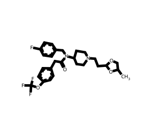 CC1COC(CCN2CCC(N(Cc3ccc(F)cc3)C(=O)Cc3ccc(OC(F)(F)F)cc3)CC2)O1